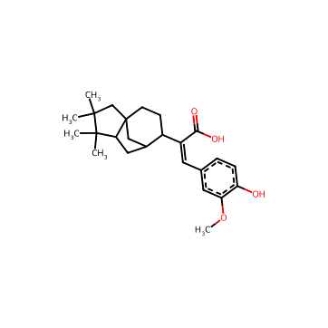 COc1cc(C=C(C(=O)O)C2CCC34CC2CC3C(C)(C)C(C)(C)C4)ccc1O